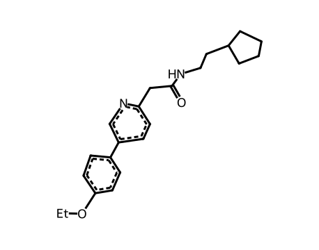 CCOc1ccc(-c2ccc(CC(=O)NCCC3CCCC3)nc2)cc1